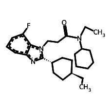 CCN(C(=O)CCn1c2c(F)cccc2nc1[C@H]1CC[C@H](CC)CC1)C1CCCCC1